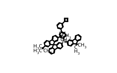 CC(C)(C)c1ccc2c(c1)C1(c3ccccc3-c3ccc(N(c4ccc(-c5cccc(C6=CC=C6)c5)cc4)c4ccc5c(c4)-c4ccccc4C5(C)C)cc31)c1cc(C(C)(C)C)ccc1-2